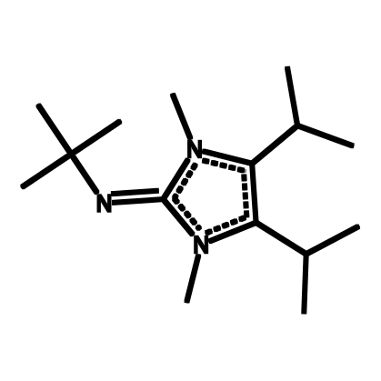 CC(C)c1c(C(C)C)n(C)c(=NC(C)(C)C)n1C